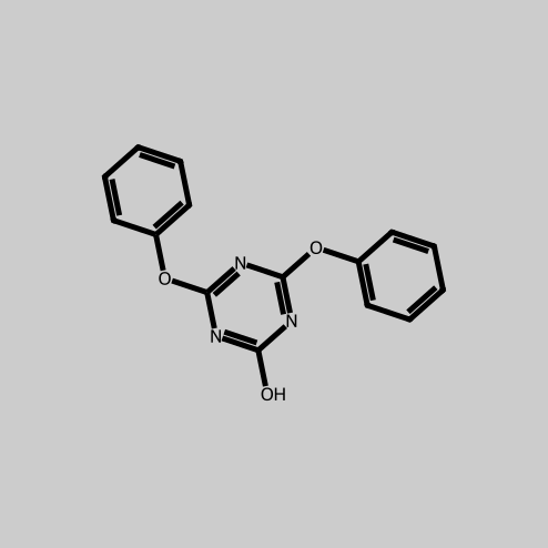 Oc1nc(Oc2ccccc2)nc(Oc2ccccc2)n1